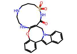 O=C1NS(=O)(=O)CCCNCCN/C2=C\1Cn1c(cc3ccccc31)-c1ccccc1O2